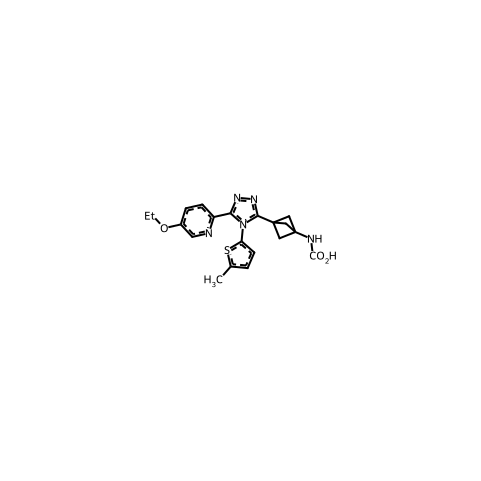 CCOc1ccc(-c2nnc(C34CC(NC(=O)O)(C3)C4)n2-c2ccc(C)s2)nc1